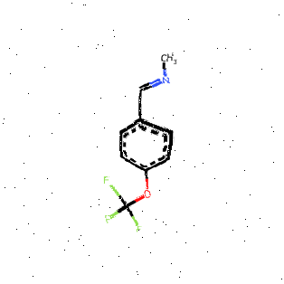 C/N=C/c1ccc(OC(F)(F)F)cc1